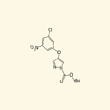 CC(C)(C)OC(=O)n1cc(Oc2cc(Cl)cc([N+](=O)[O-])c2)cn1